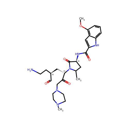 COc1cccc2[nH]c(C(=O)N[C@H]3CC(C)N([C@@H](C[C@@H](C=O)CCN)C(=O)CN4CCN(C)CC4)C3=O)cc12